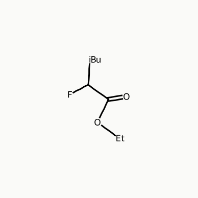 CCOC(=O)C(F)C(C)CC